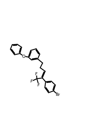 FC(F)(F)C(=CCCc1cccc(Oc2ccccc2)c1)c1ccc(Br)cc1